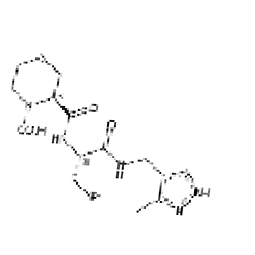 Cc1n[nH]cc1CNC(=O)[C@H](CC(C)C)NC(=O)[C@@H]1CSCCN1C(=O)O